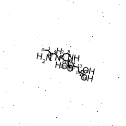 CC[C@H](N)CN[C@H]1CCN[C@@](CCCCB(O)O)(C(=O)O)C1